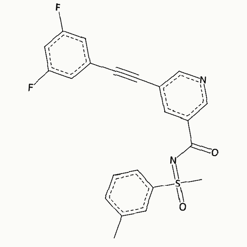 Cc1cccc(S(C)(=O)=NC(=O)c2cncc(C#Cc3cc(F)cc(F)c3)c2)c1